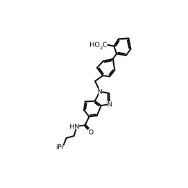 CC(C)CCNC(=O)c1ccc2c(c1)ncn2Cc1ccc(-c2ccccc2C(=O)O)cc1